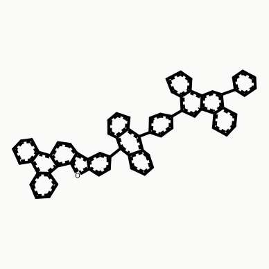 c1ccc(-c2cc3c4ccccc4c(-c4ccc(-c5c6ccccc6c(-c6ccc7oc8c(ccc9c%10ccccc%10c%10ccccc%10c98)c7c6)c6ccccc56)cc4)cc3c3ccccc23)cc1